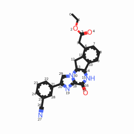 CCOC(=O)Cc1cccc2c1Cc1c-2[nH]c(=O)c2nc(-c3cccc(C#N)c3)cn12